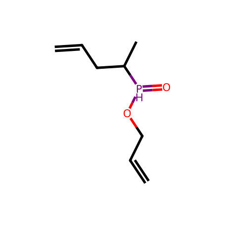 C=CCO[PH](=O)C(C)CC=C